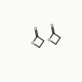 O=C1CCO1.O=C1CCO1